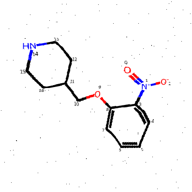 O=[N+]([O-])c1ccccc1OCC1CCNCC1